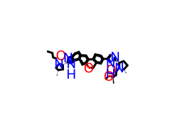 CCCC(=O)N1C[C@@H](C)C[C@H]1c1nc2ccc3cc4c(cc3c2[nH]1)OCc1cc(-c2cnc([C@@H]3CC[C@H](C)N3C(=O)C[C@@H](C)OC)[nH]2)ccc1-4